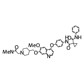 CNC(=O)CN1CCC(COc2cc3nccc(Oc4ccc(NC(=O)C5(C(=O)Nc6ccccc6)CC5)cc4)c3cc2OC)CC1